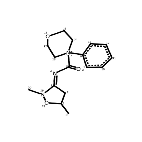 CC1CC(=NC(=O)[N+]2(c3ccccc3)CCOCC2)N(C)O1